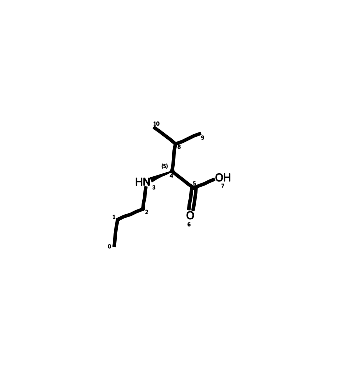 CCCN[C@H](C(=O)O)C(C)C